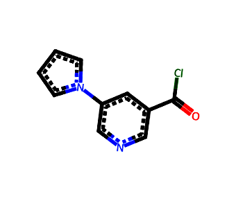 O=C(Cl)c1cncc(-n2cccc2)c1